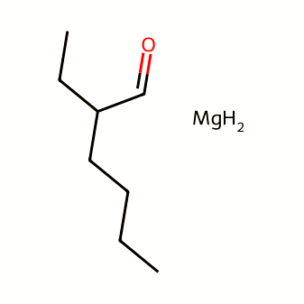 CCCCC(C=O)CC.[MgH2]